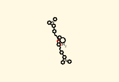 C=C1/C=C\C=C/Cc2ccccc2C12c1cc(/C=C/c3ccc(-c4ccc5c(c4)c4ccccc4n5-c4ccccc4)cc3)ccc1-c1ccc(/C=C/c3ccc(-c4ccc5c(c4)c4ccccc4n5-c4ccccc4)cc3)cc12